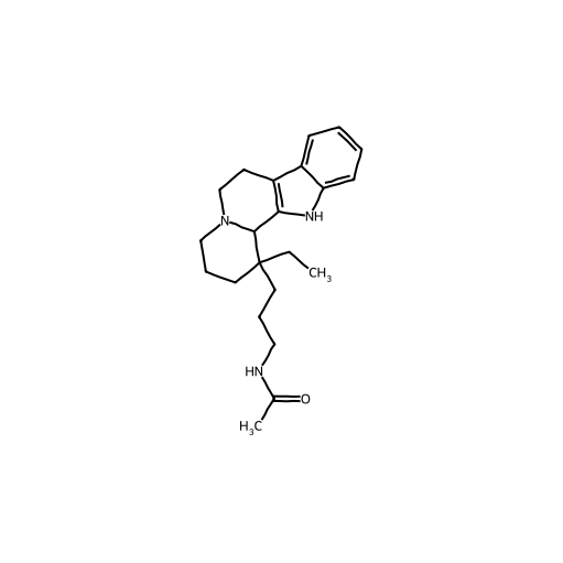 CCC1(CCCNC(C)=O)CCCN2CCc3c([nH]c4ccccc34)C21